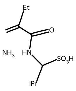 C=C(CC)C(=O)NC(C(C)C)S(=O)(=O)O.N